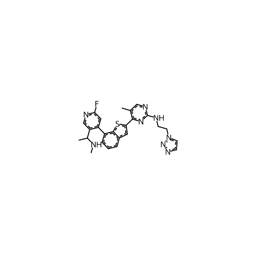 CNC(C)c1cnc(F)cc1-c1cccc2cc(-c3nc(NCCn4ccnn4)ncc3C)sc12